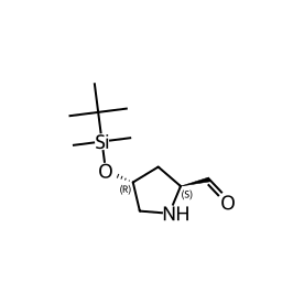 CC(C)(C)[Si](C)(C)O[C@H]1CN[C@H](C=O)C1